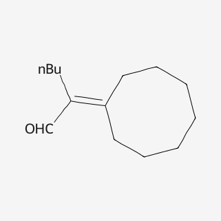 CCCCC(C=O)=C1CCCCCCC1